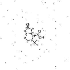 CC(C)(C)C1CCC2CC(=O)CC2N1C(=O)O